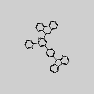 c1ccc(-c2cc(-c3ccc(-n4c5ccccc5c5cccnc54)cc3)cc(-c3cc4ccccc4c4ccccc34)n2)nc1